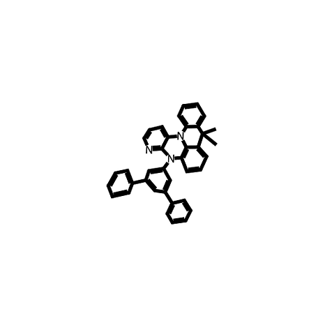 CC1(C)c2ccccc2N2c3cccnc3N(c3cc(-c4ccccc4)cc(-c4ccccc4)c3)c3cccc1c32